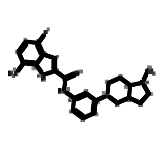 Cc1ccc(F)c2cc(C(=O)Nc3cccc(N4CCC5C(CCN5C)C4)c3)[nH]c12